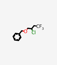 FC(F)(F)CC(Cl)COCc1ccccc1